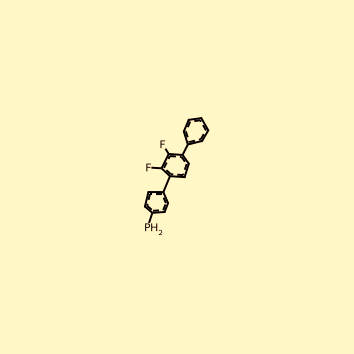 Fc1c(-c2ccccc2)ccc(-c2ccc(P)cc2)c1F